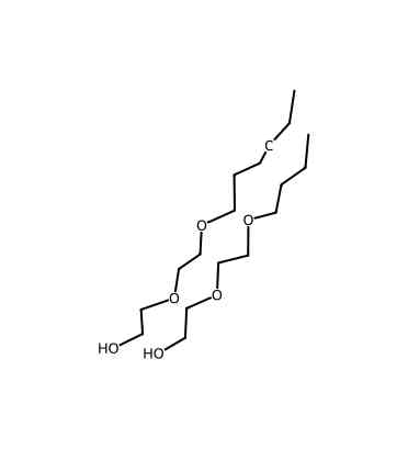 CCCCCCOCCOCCO.CCCCOCCOCCO